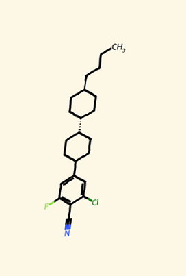 CCCC[C@H]1CC[C@H](C2CCC(c3cc(F)c(C#N)c(Cl)c3)CC2)CC1